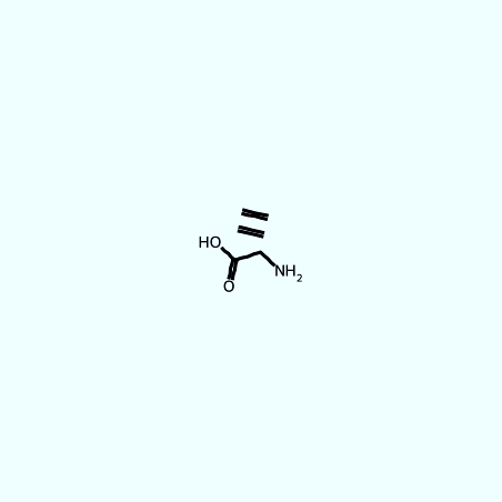 C=C.C=C.NCC(=O)O